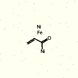 C=C[C](=O)[Ni].[Fe].[Ni]